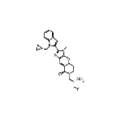 Cn1c(-c2cc3ccccc3n2CC2CC2)nc2cc3c(nc21)CCN(C[C@H](N)CF)C3=O